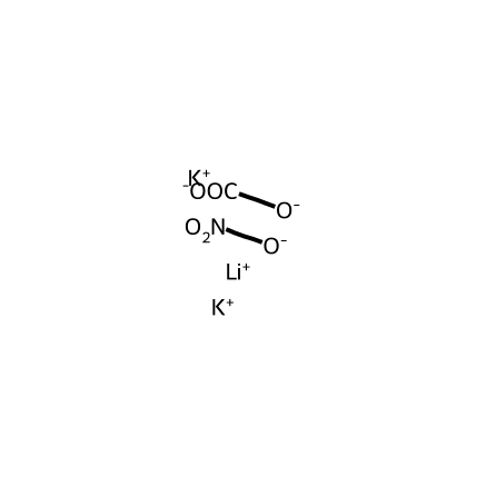 O=C([O-])[O-].O=[N+]([O-])[O-].[K+].[K+].[Li+]